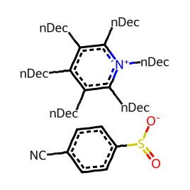 CCCCCCCCCCc1c(CCCCCCCCCC)c(CCCCCCCCCC)[n+](CCCCCCCCCC)c(CCCCCCCCCC)c1CCCCCCCCCC.N#Cc1ccc(S(=O)[O-])cc1